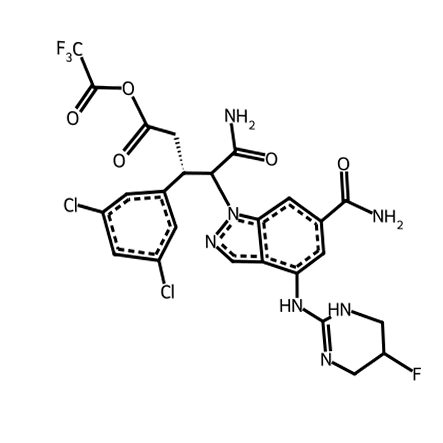 NC(=O)c1cc(NC2=NCC(F)CN2)c2cnn(C(C(N)=O)[C@@H](CC(=O)OC(=O)C(F)(F)F)c3cc(Cl)cc(Cl)c3)c2c1